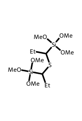 CCC(SC(CC)[Si](OC)(OC)OC)[Si](OC)(OC)OC